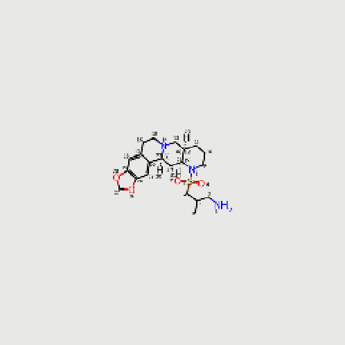 CC(CN)CS(=O)(=O)N1CCC[C@@H]2CN3CCc4cc5c(cc4[C@@H]3C[C@@H]21)OCO5